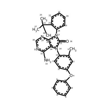 Cc1cc(Oc2ccccc2)ccc1-n1c(=O)n(-c2ccc[c]c2C(C)(C)C)c2ncnc(N)c21